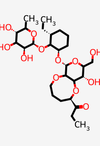 CCC(=O)[C@H]1CCCOC2C(O1)[C@@H](O)C(CO)O[C@H]2O[C@@H]1CCC[C@@H](CC)C1O[C@@H]1OC(C)[C@@H](O)C(O)[C@@H]1O